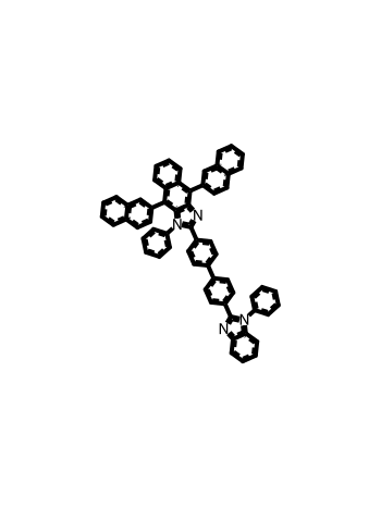 c1ccc(-n2c(-c3ccc(-c4ccc(-c5nc6c(-c7ccc8ccccc8c7)c7ccccc7c(-c7ccc8ccccc8c7)c6n5-c5ccccc5)cc4)cc3)nc3ccccc32)cc1